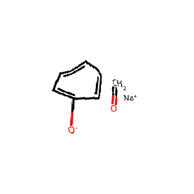 C=O.[Na+].[O-]c1ccccc1